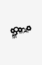 CCCc1nc2ccccc2n1Cc1ccc2c(c1)CCc1ccccc1/C2=C\c1nnco1